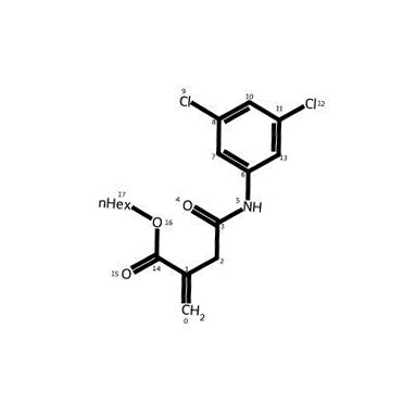 C=C(CC(=O)Nc1cc(Cl)cc(Cl)c1)C(=O)OCCCCCC